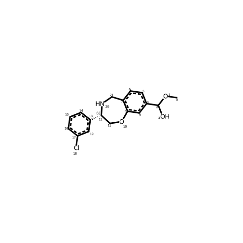 COC(O)c1ccc2c(c1)OC[C@H](c1cccc(Cl)c1)NC2